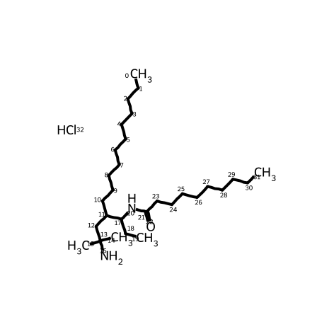 CCCCCCCCCCCC(CC(C)(C)N)C(CC)NC(=O)CCCCCCCCC.Cl